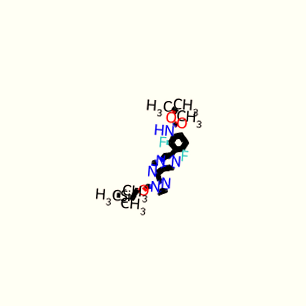 CC(C)(C)OC(=O)Nc1ccc(F)c(-c2cn3cnc(-c4nccn4COCC[Si](C)(C)C)c3cn2)c1F